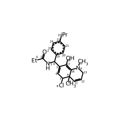 CCC(=O)NC(C1=CC(Cl)C2(C)C=CCN(C)C2=C1O)c1ccc(C(C)C)cc1